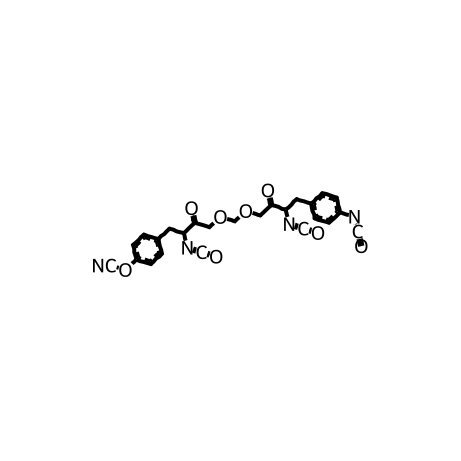 N#COc1ccc(CC(N=C=O)C(=O)COCOCC(=O)C(Cc2ccc(N=C=O)cc2)N=C=O)cc1